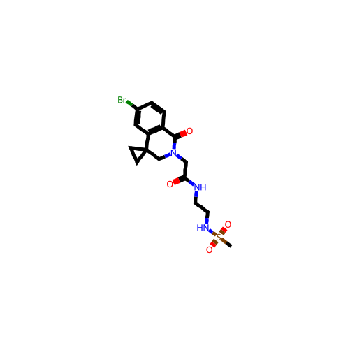 CS(=O)(=O)NCCNC(=O)CN1CC2(CC2)c2cc(Br)ccc2C1=O